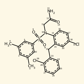 Cc1cc(C)cc(S(=O)(=O)N(CC(N)=O)c2ccc(Cl)cc2Cc2ccccc2Cl)c1